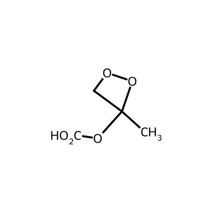 CC1(OC(=O)O)COO1